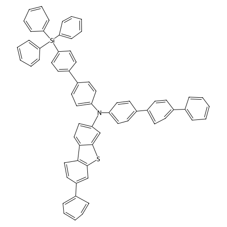 c1ccc(-c2ccc(-c3ccc(N(c4ccc(-c5ccc([Si](c6ccccc6)(c6ccccc6)c6ccccc6)cc5)cc4)c4ccc5c(c4)sc4cc(-c6ccccc6)ccc45)cc3)cc2)cc1